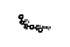 O=C(O)O[C@H]1CCCN(CC(O)c2ccc(-c3noc(-c4noc(-c5ccccc5)c4C(F)(F)F)n3)cc2)C1